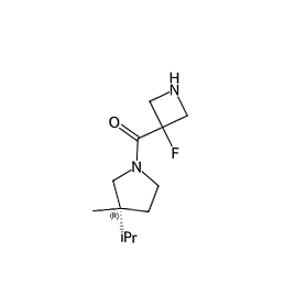 CC(C)[C@@]1(C)CCN(C(=O)C2(F)CNC2)C1